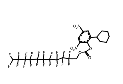 O=C(OCC(F)(F)C(F)(F)C(F)(F)C(F)(F)C(F)(F)C(F)(F)C(F)(F)C(F)(F)C(F)(F)C(F)F)Oc1c(C2CCCCC2)cc([N+](=O)[O-])cc1[N+](=O)[O-]